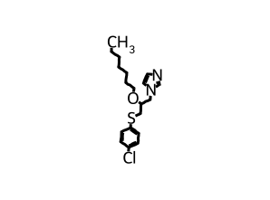 CCCCCCCOC(CSc1ccc(Cl)cc1)Cn1ccnc1